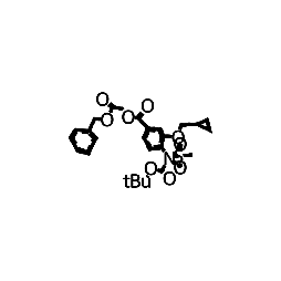 CC(C)(C)OC(=O)N(c1ccc(C(=O)OCC(=O)OCc2ccccc2)cc1OCC1CC1)S(C)(=O)=O